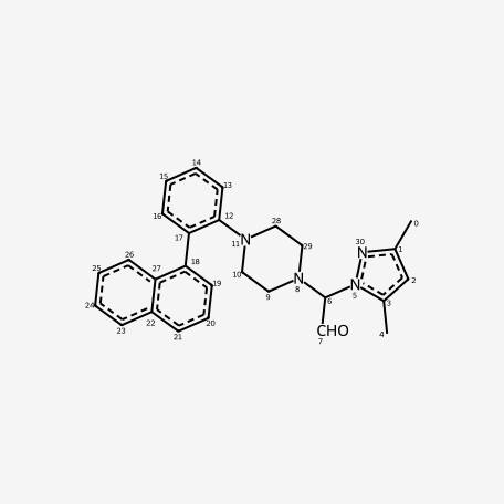 Cc1cc(C)n(C(C=O)N2CCN(c3ccccc3-c3cccc4ccccc34)CC2)n1